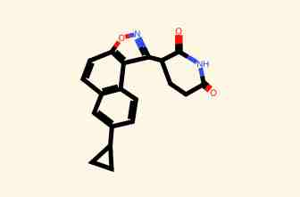 O=C1CCC(c2noc3ccc4cc(C5CC5)ccc4c23)C(=O)N1